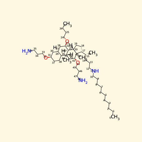 CCCCCCCCCCCNCCC[C@@H](C)[C@H]1CC[C@H]2[C@@H]3[C@H](OCCCC)C[C@@H]4C[C@H](OCCCN)CC[C@]4(C)[C@H]3C[C@H](OCCCN)[C@]12C